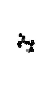 CC12C=CC=CC1C=C(c1cc(-c3ccc4cc(-c5nc(-c6cccc(-c7ccccc7)c6)nc(-c6ccc7ccc8ccccc8c7c6)n5)ccc4c3)c3c(c1)oc1ccccc13)C=C2